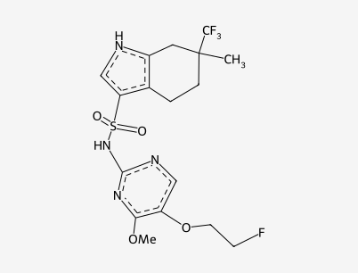 COc1nc(NS(=O)(=O)c2c[nH]c3c2CCC(C)(C(F)(F)F)C3)ncc1OCCF